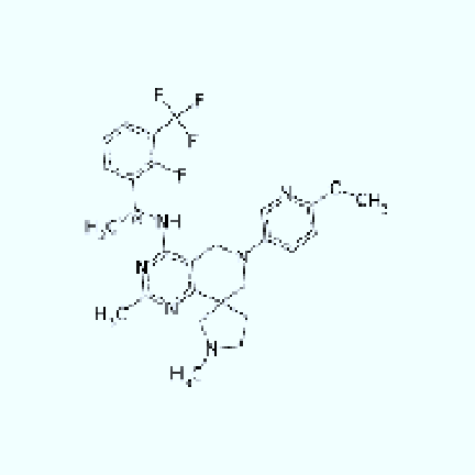 COc1ccc(N2Cc3c(N[C@H](C)c4cccc(C(F)(F)F)c4F)nc(C)nc3C3(CCN(C)C3)C2)cn1